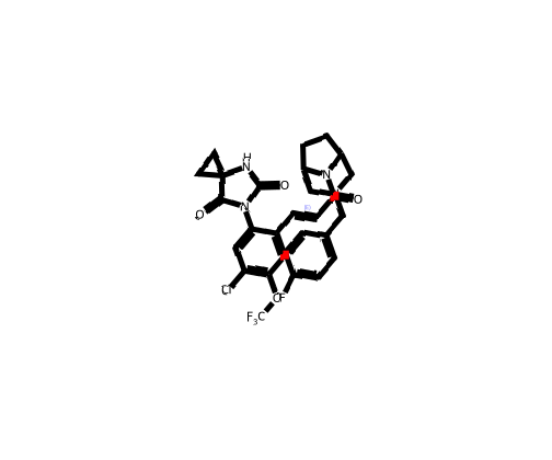 O=C1NC2(CC2)C(=O)N1c1cc(Cl)c(OC(F)(F)F)cc1/C=C/C(=O)N1C2CCC1CN(Cc1ccc(F)cc1)C2